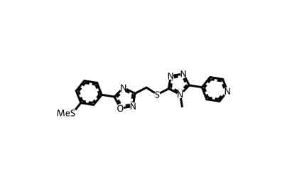 CSc1cccc(-c2nc(CSc3nnc(-c4ccncc4)n3C)no2)c1